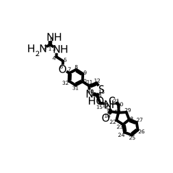 N=C(N)NCCOc1ccc(-c2csc(CNC(=O)C3(CC(=O)O)Cc4ccccc4C3)n2)cc1